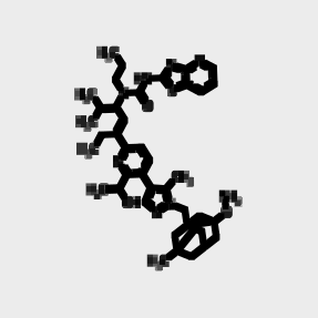 C=C(O)c1nc(/C(=C/C(=C(C)C)N(CCC)C(=O)Nc2nc3ncccc3s2)CC)ccc1-c1cnn(CC23CC4CC(C)(C2)CC(ON)(C4)C3)c1C